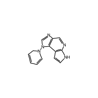 C1=CCN(n2cnc3cnc4[nH]ccc4c32)C=C1